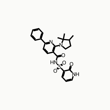 CC1CCN(c2nc(-c3ccccc3)ccc2C(=O)NS(=O)(=O)c2ccc[nH]c2=O)C1(C)C